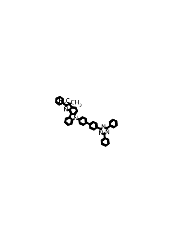 CC1(C)C(c2ccccc2)=Nc2c1ccc1c2c2ccccc2n1-c1ccc(-c2ccc(-c3nc(-c4ccccc4)nc(-c4ccccc4)n3)cc2)cc1